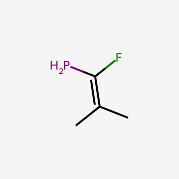 CC(C)=C(F)P